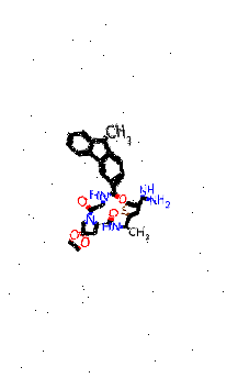 CC1c2ccccc2-c2cc(C(=O)NCC(=O)N3CC4(C[C@H]3C(=O)N[C@H](C)c3cc(C(=N)N)cs3)OCCO4)ccc21